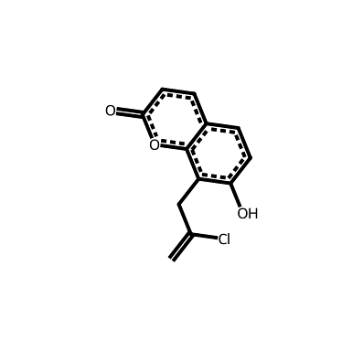 C=C(Cl)Cc1c(O)ccc2ccc(=O)oc12